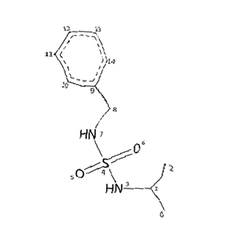 CC(C)NS(=O)(=O)NCc1ccccc1